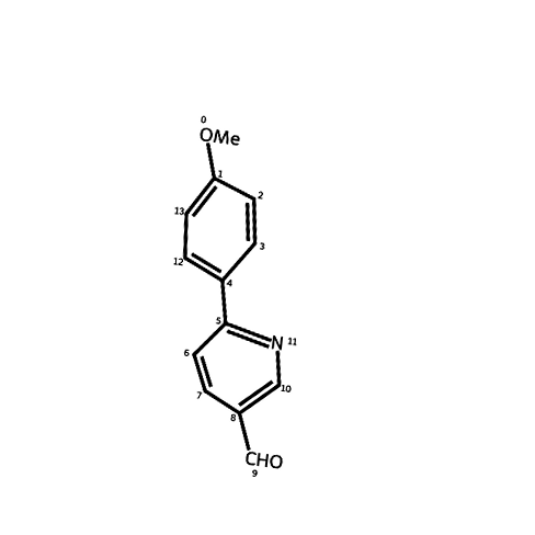 COc1ccc(-c2ccc(C=O)cn2)cc1